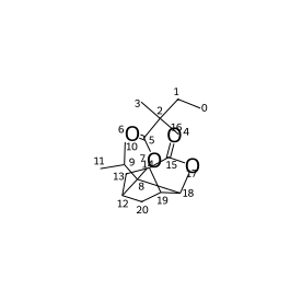 CCC(C)(C)C(=O)OC1(C(C)C)C2CC3C(=O)OC1C3C2